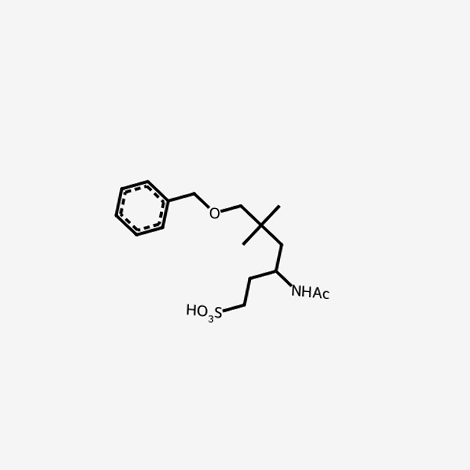 CC(=O)NC(CCS(=O)(=O)O)CC(C)(C)COCc1ccccc1